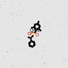 COP(=O)(CC(C)c1ccccc1)C(=O)c1c(C)cc(C)cc1C